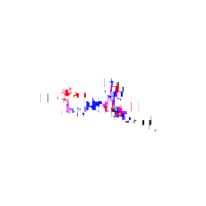 [2H]C([2H])([2H])Oc1ncc(-c2ccnc(N3CCn4c(cc5c4CC(C)(C)C5)C3=O)c2CO)nc1Nc1ccc(N2CCN(C3CCN(c4cccc5c4CN(C4CCC(C)(OP(=O)(O)O)CC4)C5=O)CC3)C[C@@H]2C)c(NC(=O)C=C)c1